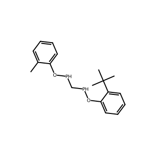 Cc1ccccc1OPCPOc1ccccc1C(C)(C)C